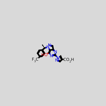 C[C@H](c1ccc(C(F)(F)F)cc1)n1ncc2nc(-n3cc(C(=O)O)cn3)nc(O)c21